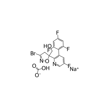 O=C([O-])O.OCC1(c2ncc(F)cc2-c2c(F)cc(F)cc2F)CC(Br)=NO1.[Na+]